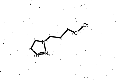 CCOCCCN1CCN=N1